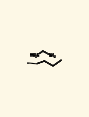 CCCCC.NCC(=O)O